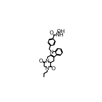 CCCN1CC(=O)N2Cc3c(c4ccccc4n3Cc3ccc(C(=O)NO)cc3)CC2C1=O